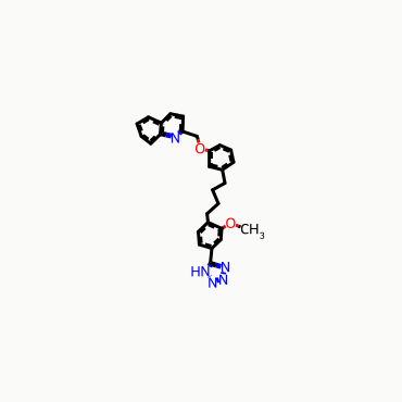 COc1cc(-c2nnn[nH]2)ccc1CCCCc1cccc(OCc2ccc3ccccc3n2)c1